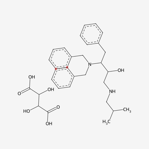 CC(C)CNCC(O)C(Cc1ccccc1)N(Cc1ccccc1)Cc1ccccc1.O=C(O)C(O)C(O)C(=O)O